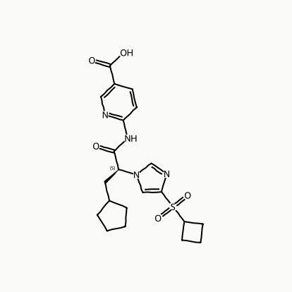 O=C(O)c1ccc(NC(=O)[C@H](CC2CCCC2)n2cnc(S(=O)(=O)C3CCC3)c2)nc1